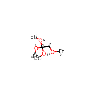 [CH2]COCC(OCC)(OCC)OCC